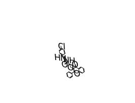 O=C(COc1c(-c2ccccc2)oc2ccccc2c1=O)NNc1ccc(Cl)cc1